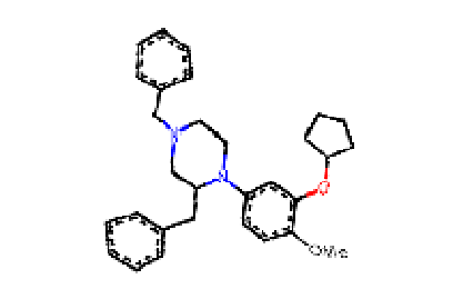 COc1ccc(N2CCN(Cc3ccccc3)CC2Cc2ccccc2)cc1OC1CCCC1